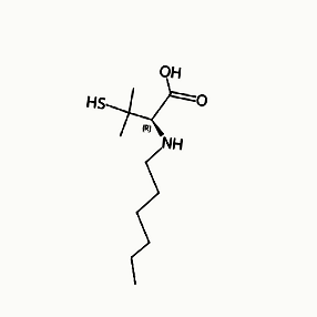 CCCCCCN[C@H](C(=O)O)C(C)(C)S